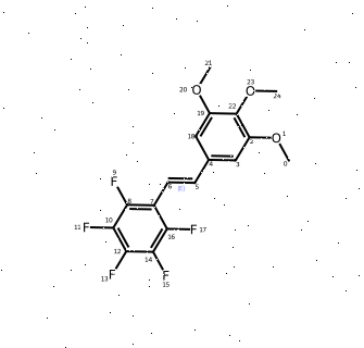 COc1cc(/C=C/c2c(F)c(F)c(F)c(F)c2F)cc(OC)c1OC